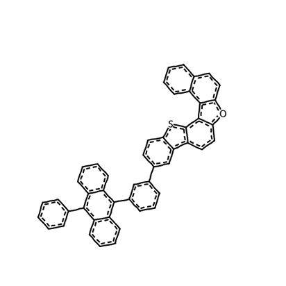 c1ccc(-c2c3ccccc3c(-c3cccc(-c4ccc5sc6c(ccc7oc8ccc9ccccc9c8c76)c5c4)c3)c3ccccc23)cc1